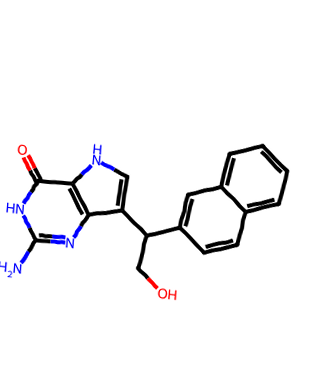 Nc1nc2c(C(CO)c3ccc4ccccc4c3)c[nH]c2c(=O)[nH]1